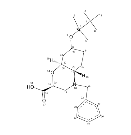 CC(C)(C)[Si](C)(C)O[C@@H]1CC[C@H]2[C@H](C1)O[C@H](C(=O)O)CN2Cc1ccccc1